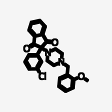 COc1ccccc1CN1CCN(C2(c3cccc(Cl)c3)C(=O)c3ccccc3C2=O)CC1